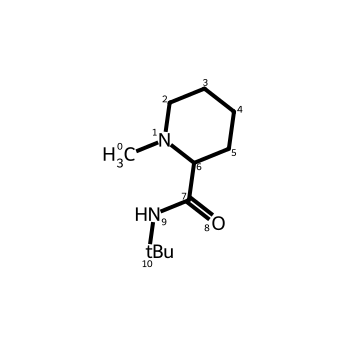 CN1CCCCC1C(=O)NC(C)(C)C